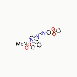 CNC(=O)OC1=CCC[C@H]1C(Cn1cccc1)(c1ccccc1)C1CCN(CC2CN(c3ccc(S(=O)(=O)c4ccccc4)cc3)C2)CC1